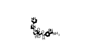 CC1(C(O)C(=O)Nc2ccc3c(N)noc3c2)OCCN(c2ccn(-c3ccnnc3)n2)C1=O